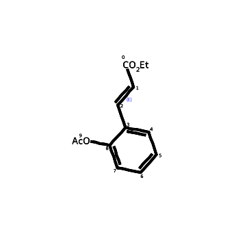 CCOC(=O)/C=C/c1ccccc1OC(C)=O